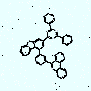 c1ccc(-c2nc(-c3ccccc3)nc(-c3cc(-c4cccc(-c5cc6ccccc6c6ccccc56)c4)c4c(c3)sc3ccccc34)n2)cc1